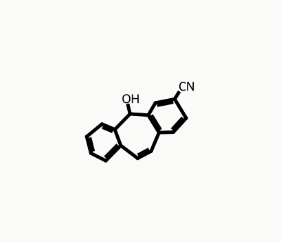 N#Cc1ccc2c(c1)C(O)c1ccccc1C=C2